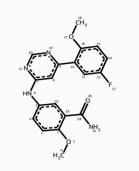 COc1ccc(Nc2cc(-c3cc(F)ccc3OC)ncn2)cc1C(N)=O